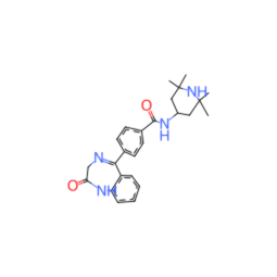 CC1(C)CC(NC(=O)c2ccc(C3=NCC(=O)Nc4ccccc43)cc2)CC(C)(C)N1